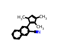 CC1=CC(C)C(c2cc3ccccc3cc2C#N)=C1C